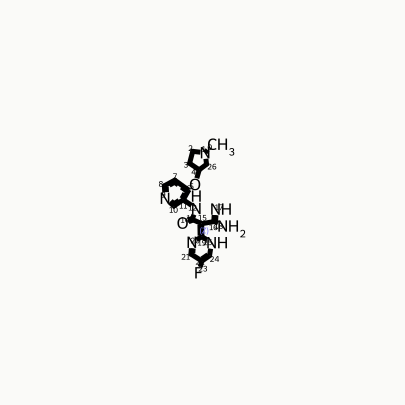 CN1CCC(Oc2ccncc2NC(=O)/C(C(=N)N)=C2\N=CC(F)=CN2)C1